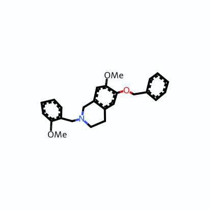 COc1ccccc1CN1CCc2cc(OCc3ccccc3)c(OC)cc2C1